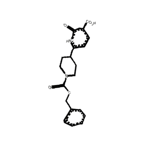 O=C(O)c1ccc(C2CCN(C(=O)OCc3ccccc3)CC2)[nH]c1=O